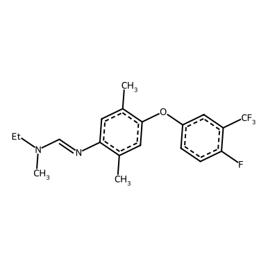 CCN(C)C=Nc1cc(C)c(Oc2ccc(F)c(C(F)(F)F)c2)cc1C